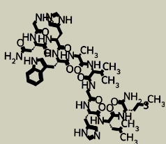 CSCC[C@H](NC(=O)[C@H](CC(C)C)NC(=O)[C@H](Cc1cnc[nH]1)NC(=O)CNC(=O)[C@@H](NC(=O)[C@H](C)NC(=O)[C@H](Cc1c[nH]c2ccccc12)NC(=O)[C@H](Cc1cnc[nH]1)NC(=O)[C@H](CC(N)=O)NC(=O)CN)C(C)C)C(N)=O